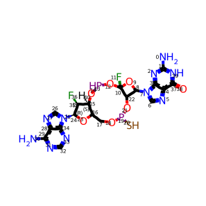 Nc1nc2c(ncn2C2OC3(F)OPO[C@H]4C(COP(S)OC23)O[C@@H](n2cnc3c(N)ncnc32)[C@H]4F)c(=O)[nH]1